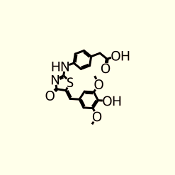 COc1cc(/C=C2\SC(Nc3ccc(CC(=O)O)cc3)=NC2=O)cc(OC)c1O